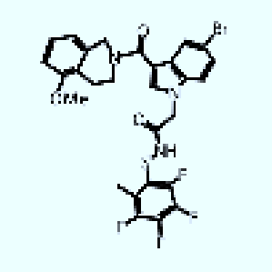 COc1cccc2c1CCN(C(=O)c1cn(CC(=O)NSc3c(C)c(F)c(F)c(F)c3F)c3ccc(Br)cc13)C2